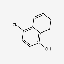 Oc1ccc(Cl)c2c1CCC=C2